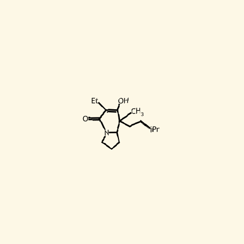 CCC1=C(O)C(C)(CCC(C)C)C2CCCN2C1=O